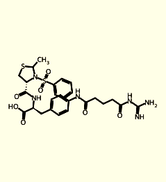 CC1SC[C@@H](C(=O)N[C@@H](Cc2ccc(NC(=O)CCCC(=O)NC(=N)N)cc2)C(=O)O)N1S(=O)(=O)c1ccccc1